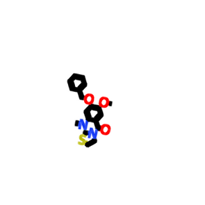 C=Nc1cc(OCc2ccccc2)c(OC)cc1C(=O)N1CCSC1